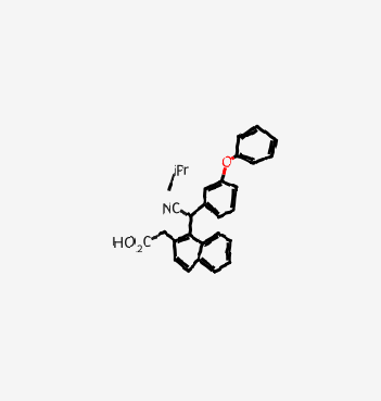 CC(C)C.N#CC(c1cccc(Oc2ccccc2)c1)c1c(CC(=O)O)ccc2ccccc12